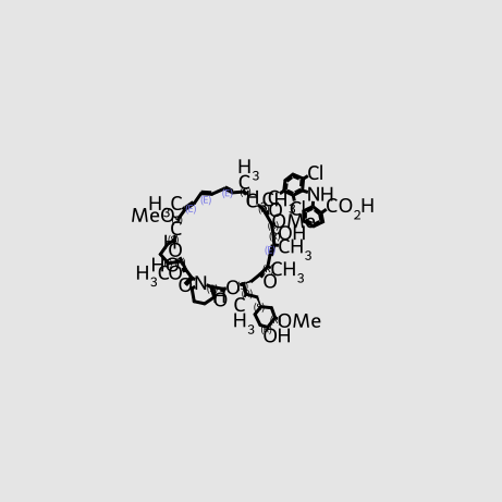 CO[C@H]1C[C@@H]2CC[C@@H](C)[C@@](O)(O2)C(=O)C(=O)N2CCCC[C@H]2C(=O)O[C@H]([C@H](C)C[C@@H]2CC[C@@H](O)[C@H](OC)C2)CC(=O)[C@H](C)/C=C(\C)[C@@H](O)[C@@H](OC)C(=O)[C@H](C)C[C@H](C)/C=C/C=C/C=C/1C.Cc1ccc(Cl)c(Nc2ccccc2C(=O)O)c1Cl